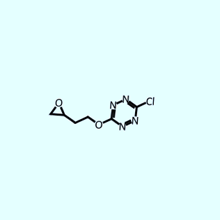 Clc1nnc(OCCC2CO2)nn1